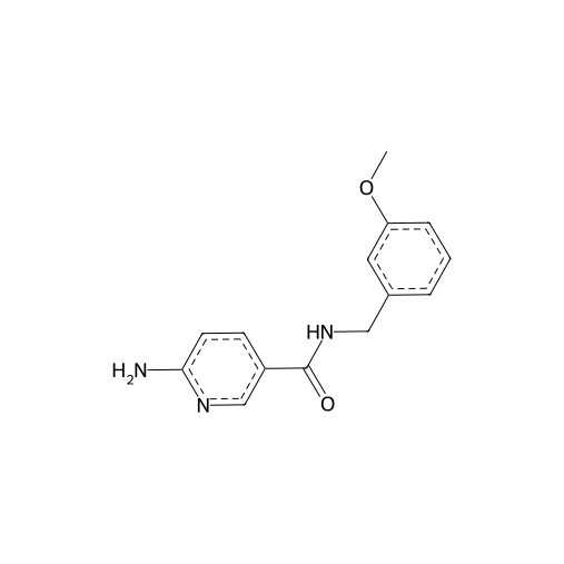 COc1cccc(CNC(=O)c2ccc(N)nc2)c1